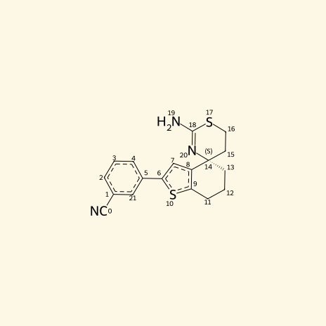 N#Cc1cccc(-c2cc3c(s2)CCC[C@]32CCSC(N)=N2)c1